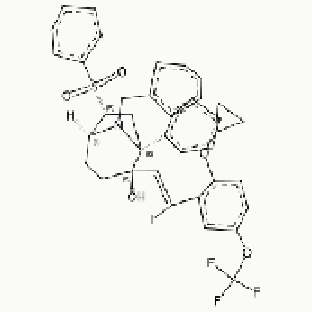 O=S(=O)(c1ccccc1)[C@@H]1C[C@]2(c3ccccc3)N(Cc3ccccc3)[C@H]1CC[C@@]2(O)C=C(I)c1cc(OC(F)(F)F)ccc1OC1CC1